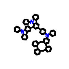 c1ccc(N(c2ccc(-c3cc(-c4ccc5c(c4)c4ccccc4n5-c4ccccc4)c4c(c3)c3ccccc3n4-c3ccccc3)cc2)c2ccc3c(c2)Cc2ccccc2-c2ccccc2Cc2ccccc2-3)cc1